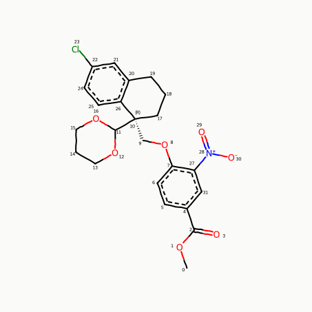 COC(=O)c1ccc(OC[C@@]2(C3OCCCO3)CCCc3cc(Cl)ccc32)c([N+](=O)[O-])c1